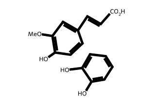 COc1cc(/C=C/C(=O)O)ccc1O.Oc1ccccc1O